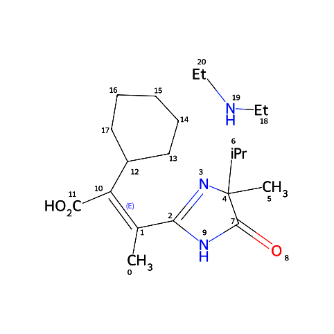 C/C(C1=NC(C)(C(C)C)C(=O)N1)=C(\C(=O)O)C1CCCCC1.CCNCC